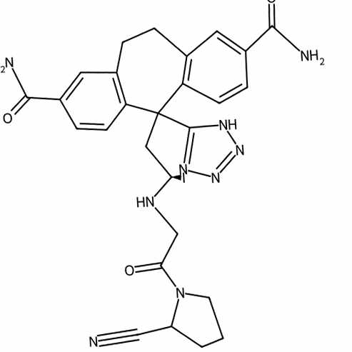 N#CC1CCCN1C(=O)CN[C@H](I)CC1(c2nnn[nH]2)c2ccc(C(N)=O)cc2CCc2cc(C(N)=O)ccc21